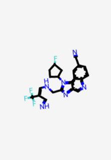 N#Cc1ccc2ncc3nc(CN/C=C(\C=N)C(F)(F)F)n(C4CCC(F)C4)c3c2c1